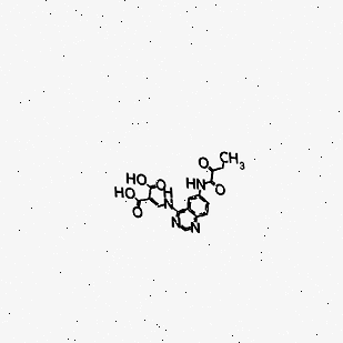 CCC(=O)C(=O)Nc1ccc2ncnc(NC=C(C(=O)O)C(=O)O)c2c1